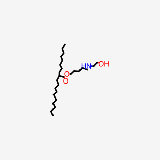 CCCCCCCCCCC(CCCCCCCC)C(=O)OCCCCCNCCO